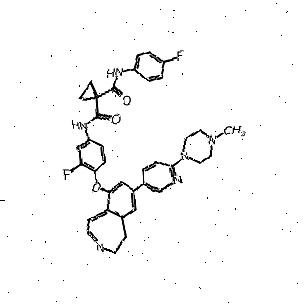 CN1CCN(c2ccc(C3=CC4CCN=CC=C4C(Oc4ccc(NC(=O)C5(C(=O)Nc6ccc(F)cc6)CC5)cc4F)=C3)cn2)CC1